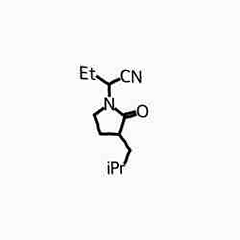 CCC(C#N)N1CCC(CC(C)C)C1=O